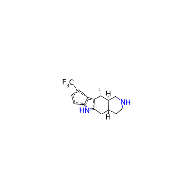 C[C@H]1c2c([nH]c3ccc(C(F)(F)F)cc23)C[C@H]2CCNC[C@@H]21